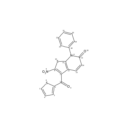 O=C(c1cccs1)c1c([N+](=O)[O-])sc2c1ccc(=O)n2-c1ccccc1